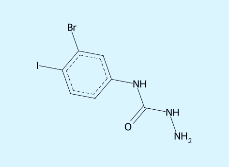 NNC(=O)Nc1ccc(I)c(Br)c1